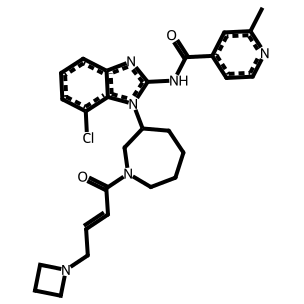 Cc1cc(C(=O)Nc2nc3cccc(Cl)c3n2C2CCCCN(C(=O)C=CCN3CCC3)C2)ccn1